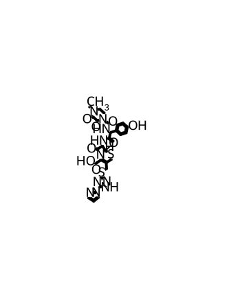 CCN1CCN(C(=O)NC(C(=O)NC2C(=O)N3C(C(=O)O)=C(CSc4n[nH]c(-n5cccn5)n4)CS[C@@H]23)c2ccc(O)cc2)C(=O)C1=O